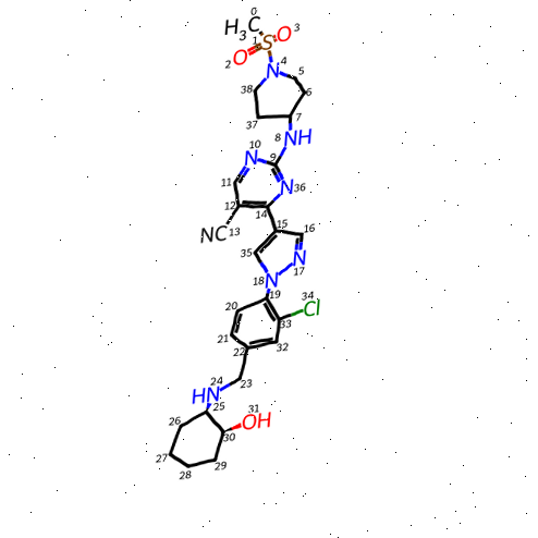 CS(=O)(=O)N1CCC(Nc2ncc(C#N)c(-c3cnn(-c4ccc(CN[C@@H]5CCCC[C@@H]5O)cc4Cl)c3)n2)CC1